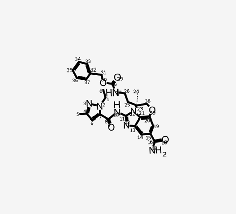 CCn1nc(C)cc1C(=O)Nc1nc2cc(C(N)=O)cc3c2n1[C@@](C)(CCNC(=O)OCc1ccccc1)CO3